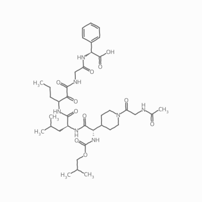 CCCC(NC(=O)[C@H](CC(C)C)NC(=O)[C@@H](NC(=O)OCC(C)C)C1CCN(C(=O)CNC(C)=O)CC1)C(=O)C(=O)NCC(=O)N[C@H](C(=O)O)c1ccccc1